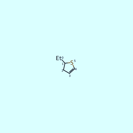 CCC1CC=CS1